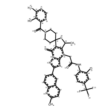 Cc1ccc2cc(-c3nc4n(CC(=O)Nc5ccc(C(F)(F)F)cc5Cl)c5c(c(=O)n4n3)C3(CCN(C(=O)c4ncnc(C)c4O)CC3)OC5C)ccc2n1